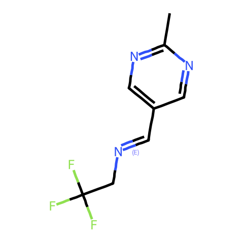 Cc1ncc(/C=N/CC(F)(F)F)cn1